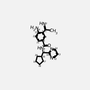 CC(=N)c1cc(C(=O)N[C@@H](c2ncccn2)C2CCCC2)ccc1N